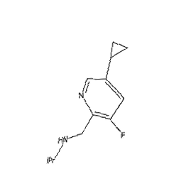 CC(C)NCc1ncc(C2CC2)cc1F